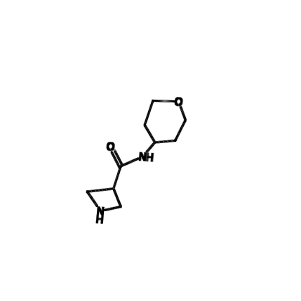 O=C(NC1CCOCC1)C1CNC1